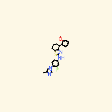 COc1ccccc1C1CCCc2sc(Nc3ccc(-n4cnc(C)c4)c(F)c3)nc21